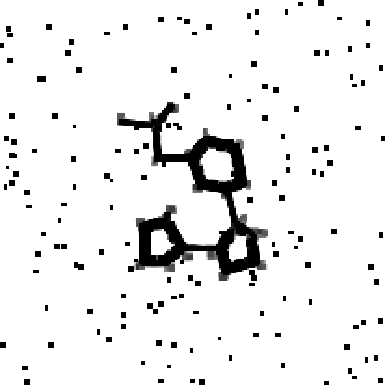 CN(C)Cc1cccc(-n2nccc2-c2cccs2)c1